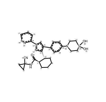 N#CC1(NC(=O)[C@@H]2CCCC[C@H]2c2nn(-c3cccnn3)cc2-c2ccc(N3CCS(O)(O)CC3)cc2)CC1